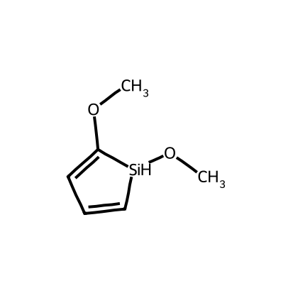 COC1=CC=C[SiH]1OC